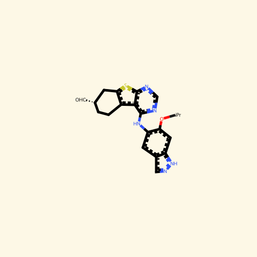 CC(C)Oc1cc2[nH]ncc2cc1Nc1ncnc2sc3c(c12)CC[C@H](C=O)C3